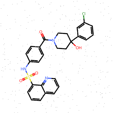 O=C(c1ccc(NS(=O)(=O)c2cccc3cccnc23)cc1)N1CCC(O)(c2cccc(Cl)c2)CC1